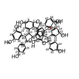 Oc1ccc([C@H]2Oc3cc(O)cc([C@@H]4[C@H](c5cc(O)cc(O)c5)[C@@H](c5ccc(O)cc5)O[C@H]4c4ccc(O)cc4)c3[C@@H]2c2cc(O)c3c(c2)[C@@H](c2cc(O)cc(O)c2)[C@H](c2ccc(O)cc2)O3)cc1